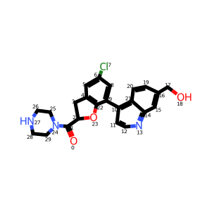 O=C(C1Cc2cc(Cl)cc(-c3ccnc4cc(CO)ccc34)c2O1)N1CCNCC1